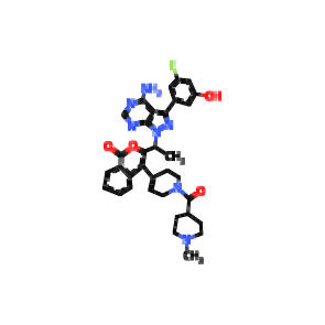 CC(c1oc(=O)c2ccccc2c1C1=CCN(C(=O)C2CCN(C)CC2)CC1)n1nc(-c2cc(O)cc(F)c2)c2c(N)ncnc21